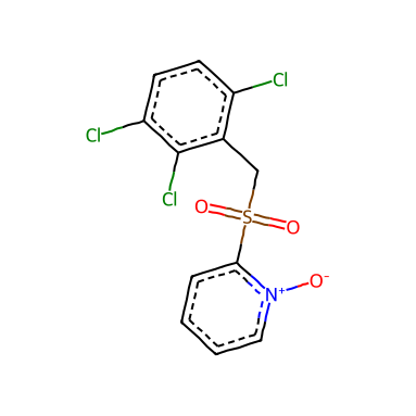 O=S(=O)(Cc1c(Cl)ccc(Cl)c1Cl)c1cccc[n+]1[O-]